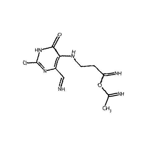 CC(=N)OC(=N)CCNc1c(C=N)nc(Cl)[nH]c1=O